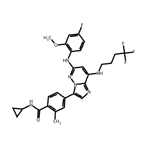 COc1cc(F)ccc1Nc1cc(NCCCC(F)(F)F)c2ncc(-c3ccc(C(=O)NC4CC4)c(C)c3)n2n1